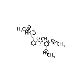 C=CS(=O)(=O)NNC(=O)CCc1ccccc1C(=O)N[C@H](C)c1cc(-c2cnn(C)c2)cc(-c2ccn(CC)n2)c1